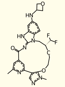 Cc1cc2cc(n1)-c1cnn(C)c1OCCC[C@@H](C(F)F)CN1/C(=N/C2=O)Nc2cc(NC3COC3)ccc21